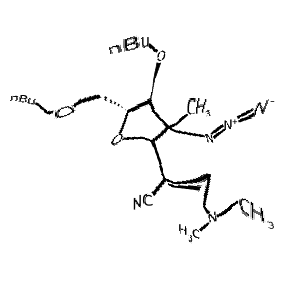 CCCCOC[C@H]1OC(C(C#N)=CN(C)C)C(C)(N=[N+]=[N-])[C@@H]1OCCCC